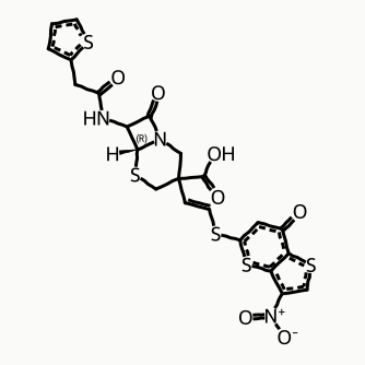 O=C(Cc1cccs1)NC1C(=O)N2CC(C=CSc3cc(=O)c4scc([N+](=O)[O-])c4s3)(C(=O)O)CS[C@H]12